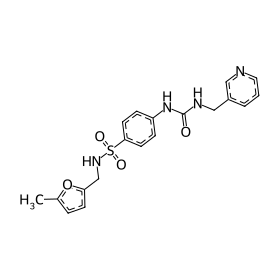 Cc1ccc(CNS(=O)(=O)c2ccc(NC(=O)NCc3cccnc3)cc2)o1